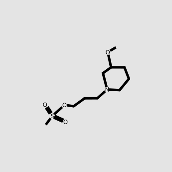 COC1CCCN(CCCOS(C)(=O)=O)C1